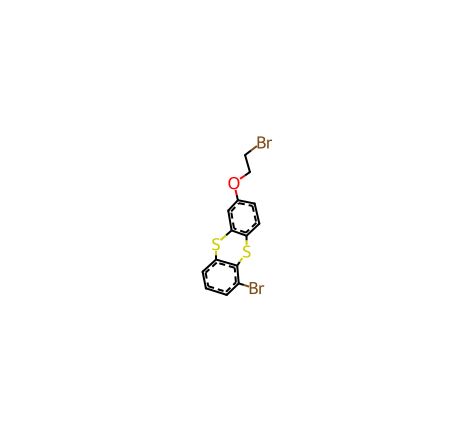 BrCCOc1ccc2c(c1)Sc1cccc(Br)c1S2